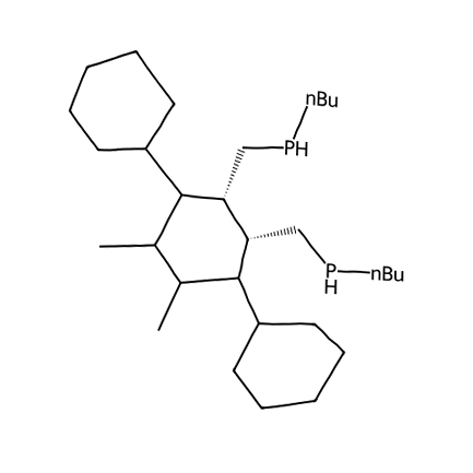 CCCCPC[C@@H]1C(C2CCCCC2)C(C)C(C)C(C2CCCCC2)[C@@H]1CPCCCC